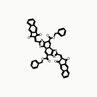 O=C(OCc1ccccc1)C1=CC2c3sc(C=C4C(=O)c5cc6ccccc6cc5C4=O)nc3C(C(=O)OCc3ccccc3)=CC2c2sc(C=C3C(=O)c4cc5ccccc5cc4C3=O)nc21